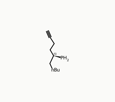 C#CCC[C@@H](P)CCCCC